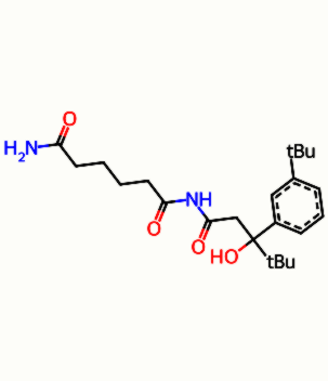 CC(C)(C)c1cccc(C(O)(CC(=O)NC(=O)CCCCC(N)=O)C(C)(C)C)c1